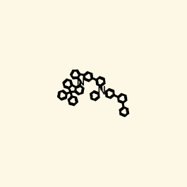 c1ccc(-c2cccc(-c3ccc(N(c4ccccc4)c4cccc(-c5ccc6c7ccccc7n(-c7cccc8c7-c7ccccc7C8(c7ccccc7)c7ccccc7)c6c5)c4)cc3)c2)cc1